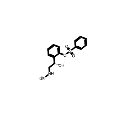 CC(C)(C)NC[C@@H](O)c1ccccc1OS(=O)(=O)c1ccccc1